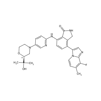 Cc1ccn2c(-c3ccc(Nc4ccc(N5CCO[C@H](C(C)(C)O)C5)cn4)c4c3CNC4=O)cnc2c1F